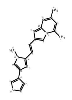 Cc1cc(C)n2cc(/C=C/c3nc(-c4ccsc4)cn3C)nc2n1